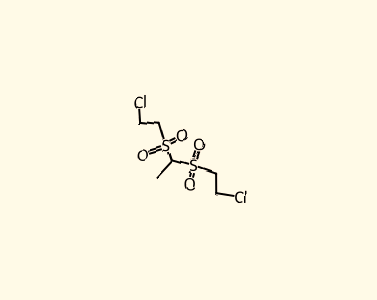 CC(S(=O)(=O)CCCl)S(=O)(=O)CCCl